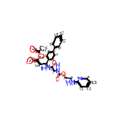 O=C(CNC(=O)OCCNc1ccccn1)NC(CC(=O)OC(=O)C(F)(F)F)c1ccc(-c2ccccc2)cc1